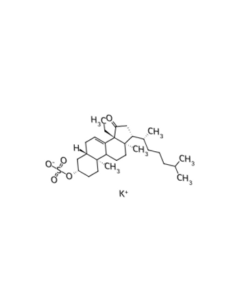 CC[C@@]12C(=O)C[C@H]([C@H](C)CCCC(C)C)[C@@]1(C)CCC1C2=CC[C@H]2C[C@@H](OS(=O)(=O)[O-])CC[C@]12C.[K+]